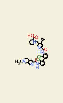 CN1CCc2cc(C(=O)Nc3cccc(-c4cccc(NC(=O)c5cc(C6CC6)c(CN6CCCCC6C(=O)O)cn5)c4Cl)c3Cl)ncc2C1